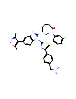 Cc1noc(C)c1-c1ccc2c(c1)nc([C@@H]1CCCC(=O)N(c3ccc(F)c(F)c3)[SiH2]1)n2-c1nc(-c2ccc(CN(C)C)cc2)cs1